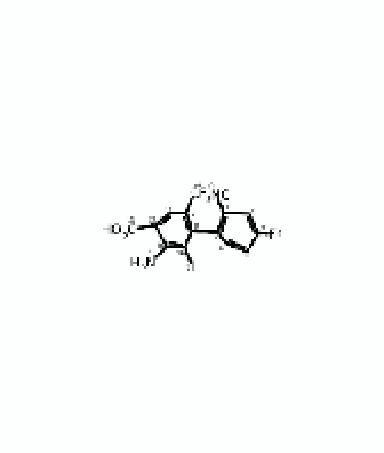 N#Cc1cc(F)ccc1-c1c(C(F)(F)F)cc(C(=O)O)c(N)c1I